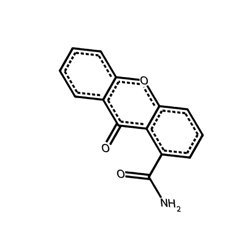 NC(=O)c1cccc2oc3ccccc3c(=O)c12